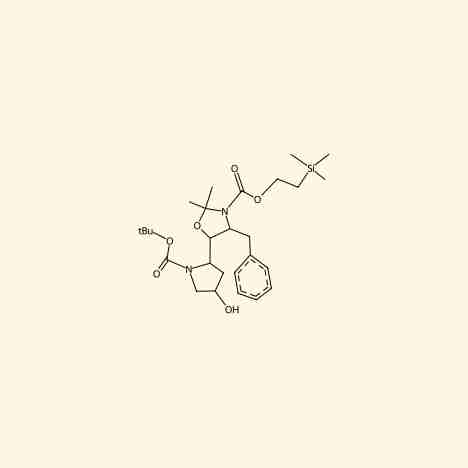 CC(C)(C)OC(=O)N1CC(O)CC1C1OC(C)(C)N(C(=O)OCC[Si](C)(C)C)C1Cc1ccccc1